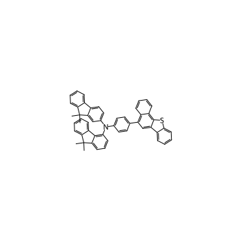 CC1(C)c2ccccc2-c2ccc(N(c3ccc(-c4cc5c6ccccc6sc5c5ccccc45)cc3)c3cccc4c3-c3ccccc3C4(C)C)cc21